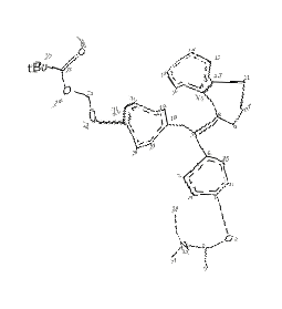 CC(Oc1ccc(C(=C2CCCc3ccccc32)c2ccc(OCOC(=O)C(C)(C)C)cc2)cc1)N(C)C